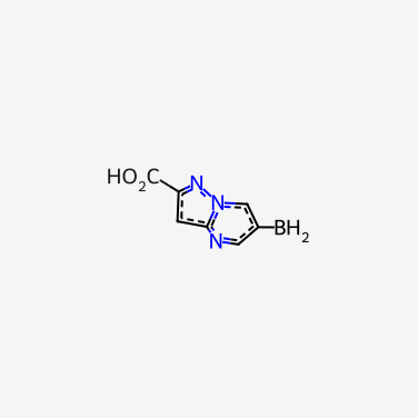 Bc1cnc2cc(C(=O)O)nn2c1